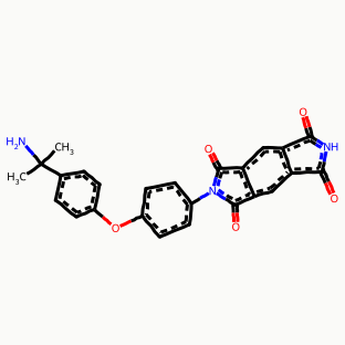 CC(C)(N)c1ccc(Oc2ccc(-n3c(=O)c4cc5c(=O)[nH]c(=O)c5cc4c3=O)cc2)cc1